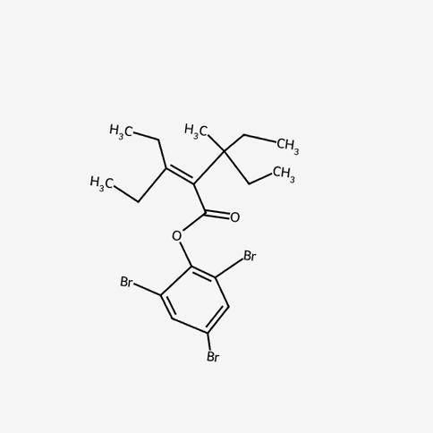 CCC(CC)=C(C(=O)Oc1c(Br)cc(Br)cc1Br)C(C)(CC)CC